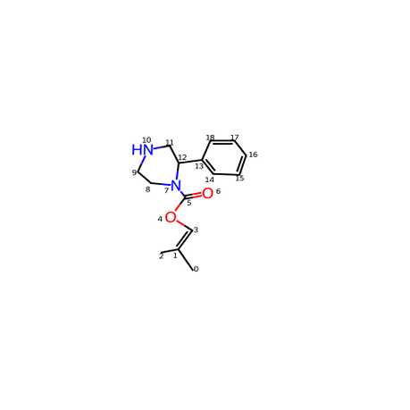 CC(C)=COC(=O)N1CCNCC1c1ccccc1